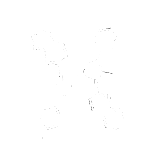 CC1=C(c2ccc(F)cc2)S/C(=C2/SC(c3ccc(F)cc3)=C(C)N2c2ccc3cccnc3n2)N1c1ccc2cccnc2n1